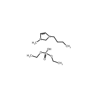 CCCCN1C=CN(C)C1.CCOP(=O)(O)OCC